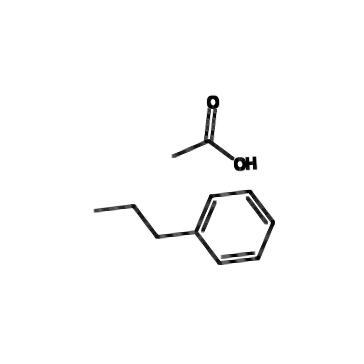 CC(=O)O.CCCc1ccccc1